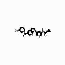 CC[C@@H]1CCCN(C(=O)c2cnc3c(ccn3-c3cncc(NC(=O)C4CC4)c3)c2)C1